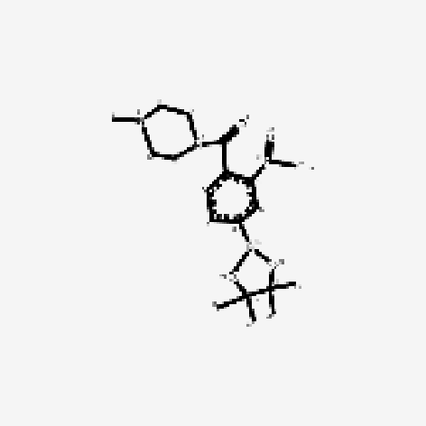 CN1CCN(C(=O)c2ccc(B3OC(C)(C)C(C)(C)O3)cc2[N+](=O)[O-])CC1